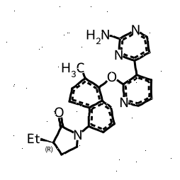 CC[C@@H]1CCN(c2cccc3c(Oc4ncccc4-c4ccnc(N)n4)c(C)ccc23)C1=O